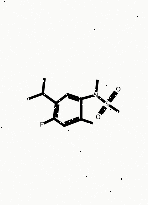 Cc1cc(F)c(C(C)C)cc1N(C)S(C)(=O)=O